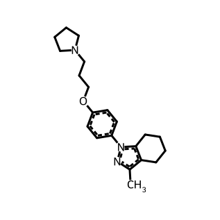 Cc1nn(-c2ccc(OCCCN3CCCC3)cc2)c2c1CCCC2